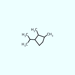 CC(C)C1CCC(C)C1C